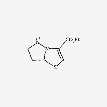 CCOC(=O)C1=CSC2CCNN12